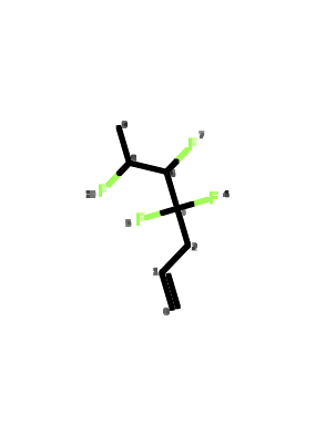 C=CCC(F)(F)C(F)C(C)F